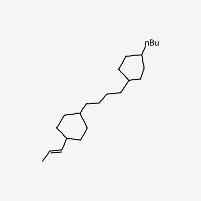 CC=CC1CCC(CCCCC2CCC(CCCC)CC2)CC1